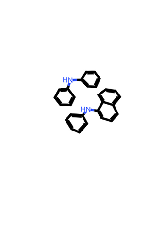 c1ccc(Nc2cccc3ccccc23)cc1.c1ccc(Nc2ccccc2)cc1